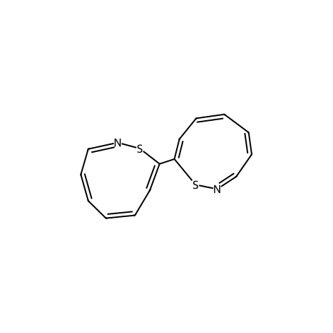 c1cccc(-c2ccccccns2)sncc1